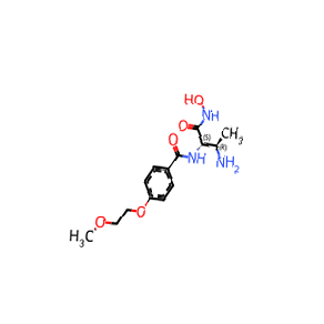 COCCOc1ccc(C(=O)N[C@H](C(=O)NO)[C@@H](C)N)cc1